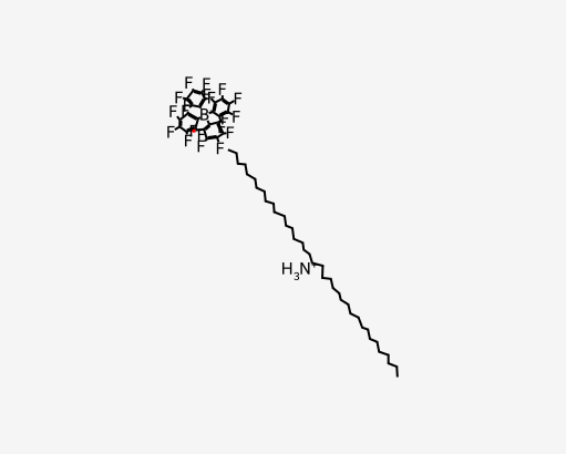 CCCCCCCCCCCCCCCCCCC([NH3+])CCCCCCCCCCCCCCCCCC.Fc1c(F)c(F)c([B-](c2c(F)c(F)c(F)c(F)c2F)(c2c(F)c(F)c(F)c(F)c2F)c2c(F)c(F)c(F)c(F)c2F)c(F)c1F